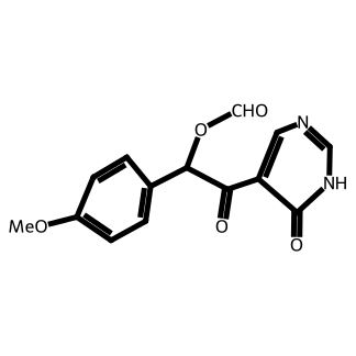 COc1ccc(C(OC=O)C(=O)c2cnc[nH]c2=O)cc1